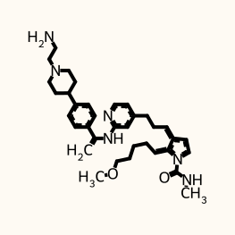 C=C(Nc1cc(CC/C=c2/ccn(C(=O)NC)/c2=C/CCCCOC)ccn1)c1ccc(C2CCN(CCN)CC2)cc1